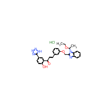 CCOC(C)n1c(COc2cccc(/C=C/C(=O)c3cc(-c4nnn[nH]4)ccc3O)c2)nc2ccccc21.Cl